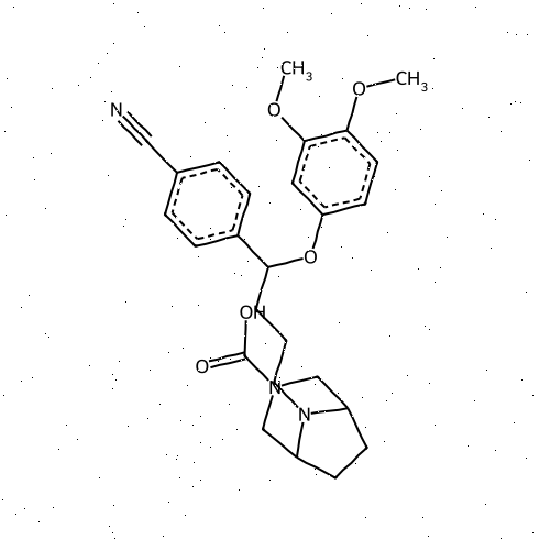 COc1ccc(OC(CCCN2C3CCC2CN(C(=O)O)C3)c2ccc(C#N)cc2)cc1OC